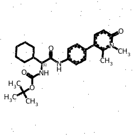 Cc1c(-c2ccc(NC(=O)[C@@H](NC(=O)OC(C)(C)C)C3CCCCC3)cc2)ccc(=O)n1C